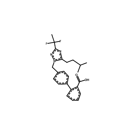 CC(C)CCc1nc(C(C)(F)F)nn1Cc1ccc(-c2ccccc2C(=O)O)cc1